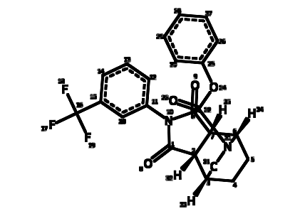 O=C1[C@H]2[C@H]3CC[C@@H]([C@H]2C(=O)N1c1cccc(C(F)(F)F)c1)N(C(=O)Oc1ccccc1)C3